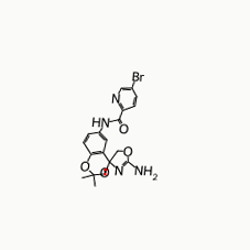 CC1(C)Oc2ccc(NC(=O)c3ccc(Br)cn3)cc2C2(COC(N)=N2)C12COC2